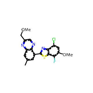 COCc1cnc2c(-c3nc4c(Cl)cc(OC)c(F)c4s3)cc(C)cc2n1